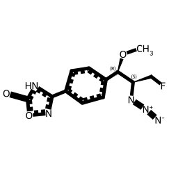 CO[C@H](c1ccc(-c2noc(=O)[nH]2)cc1)[C@@H](CF)N=[N+]=[N-]